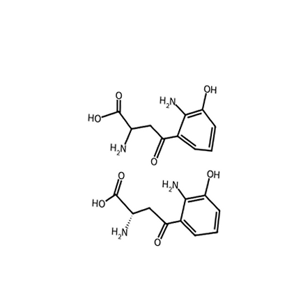 Nc1c(O)cccc1C(=O)CC(N)C(=O)O.Nc1c(O)cccc1C(=O)C[C@H](N)C(=O)O